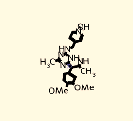 COc1ccc(/C(C(C)=N)=C2\N=C(C)N=C(NCc3cc[n+](O)cc3)N2)cc1OC